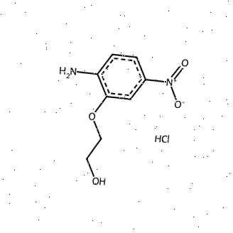 Cl.Nc1ccc([N+](=O)[O-])cc1OCCO